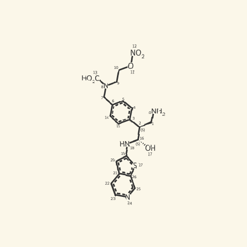 NC[C@H](c1ccc(CN(CCO[N+](=O)[O-])C(=O)O)cc1)[C@H](O)Nc1cc2ccncc2s1